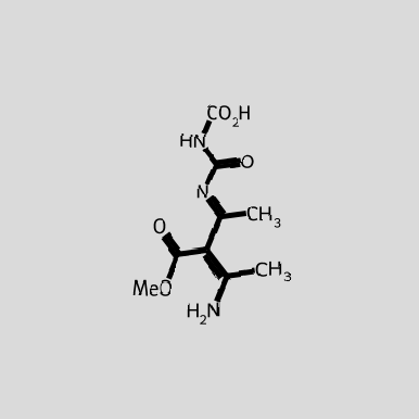 COC(=O)C(=C(/C)N)/C(C)=N/C(=O)NC(=O)O